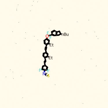 CCCCC1Cc2ccc(C(F)(F)Oc3ccc(C#Cc4ccc(C#Cc5cc(F)c(N=C=S)c(F)c5)c(CC)c4)c(CC)c3)cc2C1